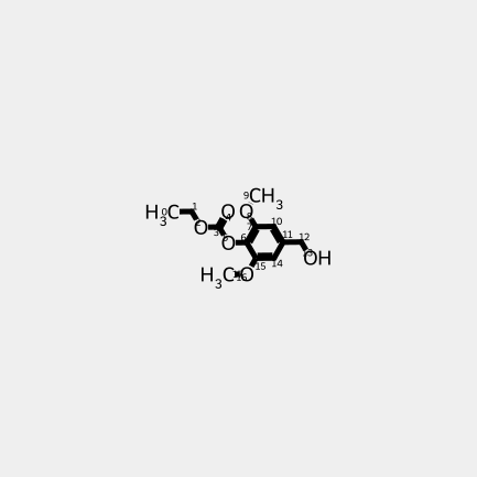 CCOC(=O)Oc1c(OC)cc(CO)cc1OC